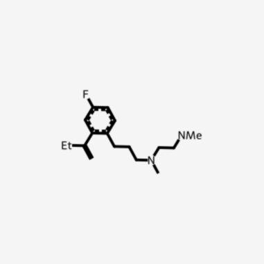 C=C(CC)c1cc(F)ccc1CCCN(C)CCNC